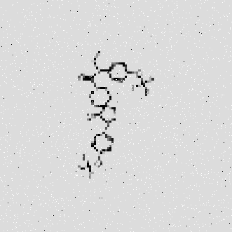 CCN(C(=O)N1CCC2(CC1)CCN(c1ccc(OC(F)(F)F)cc1)C2=O)c1ccc(OC(F)(F)F)cc1